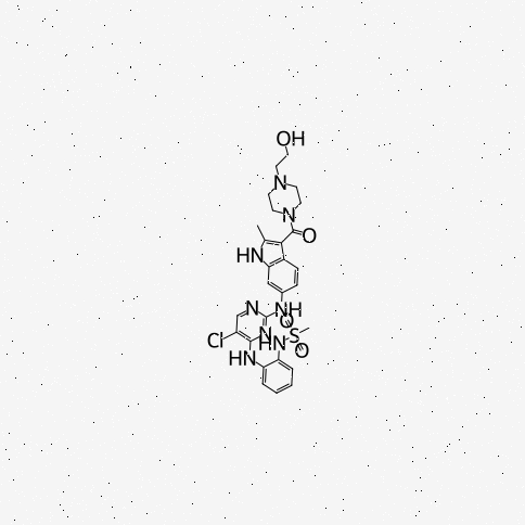 Cc1[nH]c2cc(Nc3ncc(Cl)c(Nc4ccccc4NS(C)(=O)=O)n3)ccc2c1C(=O)N1CCN(CCO)CC1